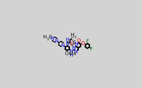 C=CC(=O)Nc1cc(Nc2ncc3cc(Oc4ccc(F)cc4F)c(=O)n(C)c3n2)c(OC)cc1N1CCC(N2CCN(C)CC2)CC1